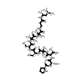 CCCCCCCC[C@H](NC(=O)[C@@H]1CCCN1)C(=O)N[C@H](C(=O)NC(C)(C)C(=O)N[C@@H](CC(C)C)C(=O)N[C@@H](CC(C)C)C(=O)NC(C)(C)C(=O)NC(C)(C)C(=O)NCCC(=O)N[C@@H](C)CN(C)C)[C@H](O)C(C)C